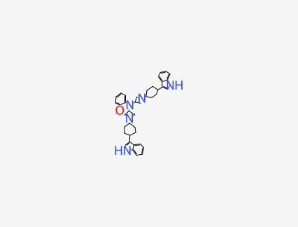 COc1ccccc1N(C1CN(C2CCC(c3c[nH]c4ccccc34)CC2)C1)C1CN(C2CCC(c3c[nH]c4ccccc34)CC2)C1